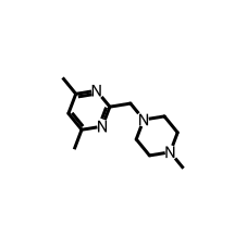 Cc1cc(C)nc(CN2CCN(C)CC2)n1